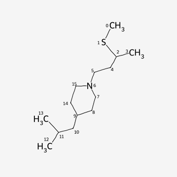 CSC(C)CCN1CCC(CC(C)C)CC1